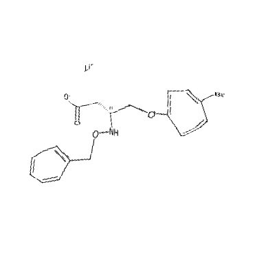 O=C([O-])C[C@H](COc1ccc(Br)cc1)NOCc1ccccc1.[Li+]